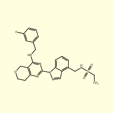 CCS(=O)(=O)NCc1cccc2c1cnn2-c1nc2c(c(NCc3cccc(F)c3)n1)COCC2